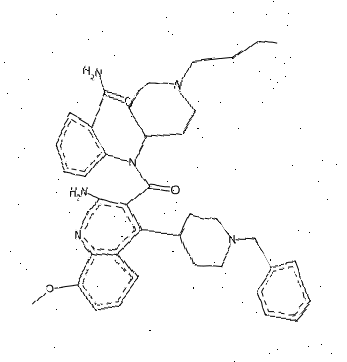 CCCCN1CCC(N(C(=O)c2c(N)nc3c(OC)cccc3c2C2CCN(Cc3ccccc3)CC2)c2ccccc2C(N)=O)CC1